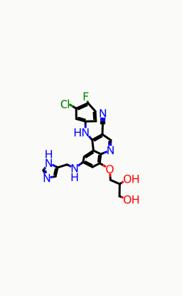 N#Cc1cnc2c(OCC(O)CO)cc(NCc3cnc[nH]3)cc2c1Nc1ccc(F)c(Cl)c1